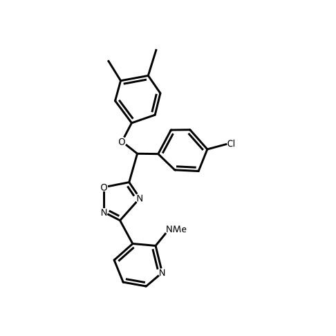 CNc1ncccc1-c1noc(C(Oc2ccc(C)c(C)c2)c2ccc(Cl)cc2)n1